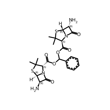 CC1(C)S[C@@H]2[C@H](N)C(=O)N2[C@H]1C(=O)OC(OC(=O)[C@@H]1N2C(=O)[C@@H](N)[C@H]2SC1(C)C)c1ccccc1